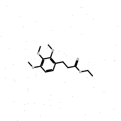 CCOC(=O)CCc1ccc(OC)c(OC)c1OC